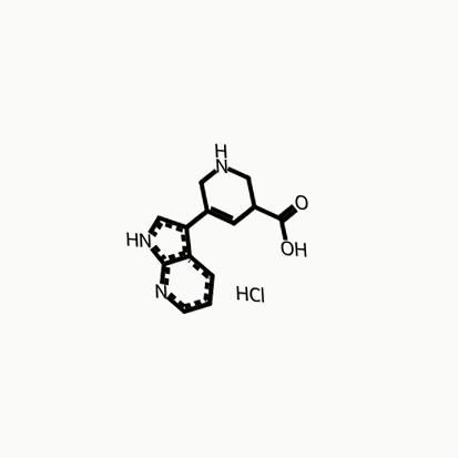 Cl.O=C(O)C1C=C(c2c[nH]c3ncccc23)CNC1